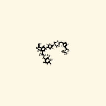 Cc1cc(C)c(CNC(=O)c2cc(-c3ccc(N4CCN(Cc5ccc(C(=O)NO)o5)CC4)nc3)cc3c2cnn3C(C)C)c(=O)[nH]1